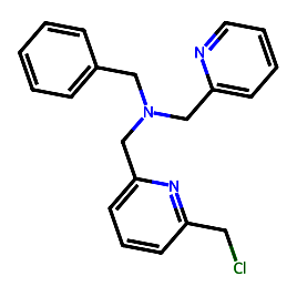 ClCc1cccc(CN(Cc2ccccc2)Cc2ccccn2)n1